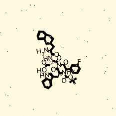 CC(C)(C)OC(=O)N[C@@H](Cc1c[nH]c2ccccc12)C(=O)N(C(=O)Cc1cccc(F)c1)C(=O)[C@H](CC(=O)O)NC(=O)[C@@H](N)Cc1ccc2ccccc2c1